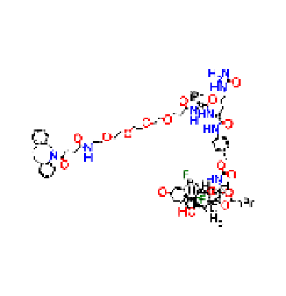 CCCC1O[C@@H]2C[C@H]3[C@@H]4C[C@H](F)C5=CC(=O)C=C[C@]5(C)[C@@]4(F)[C@@H](O)C[C@]3(C)[C@]2(C(=O)CNC(=O)OCc2ccc(NC(=O)[C@H](CCCNC(N)=O)NC(=O)[C@@H](NC(=O)CCOCCOCCOCCOCCNC(=O)CCC(=O)N3Cc4ccccc4CCc4ccccc43)C(C)C)cc2)O1